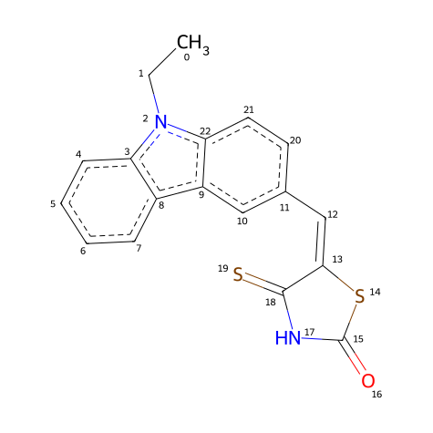 CCn1c2ccccc2c2cc(C=C3SC(=O)NC3=S)ccc21